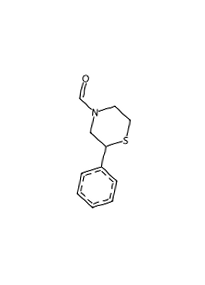 O=CN1CCSC(c2ccccc2)C1